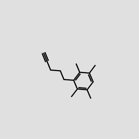 [C]#CCCCc1c(C)c(C)cc(C)c1C